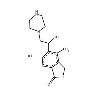 Cc1c(C(O)CN2CCNCC2)ccc2c1COC2=O.Cl